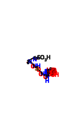 C=C1NC(=O)C(C#CCNC(=O)CCCCOCSSCCNC(=O)CCCCCN2\C(=C/C=C/C=C/C3=[N+](C)c4ccc(S(=O)(=O)O)cc4C3(C)C)C(C)(C)c3ccccc32)=CN1[C@H]1CC(OC(=O)c2ccccc2C(C)N=[N+]=[N-])[C@@H](COP(=O)(O)OP(=O)(O)OP(=O)(O)O)O1